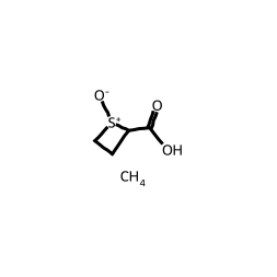 C.O=C(O)C1CC[S+]1[O-]